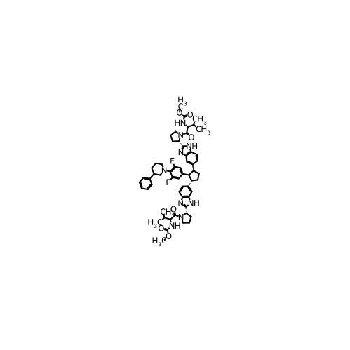 COC(=O)N[C@H](C(=O)N1CCC[C@H]1c1nc2cc([C@H]3CC[C@H](c4ccc5nc([C@@H]6CCCN6C(=O)[C@@H](NC(=O)OC)C(C)C)[nH]c5c4)C3c3cc(F)c(N4CCCC(c5ccccc5)C4)c(F)c3)ccc2[nH]1)C(C)C